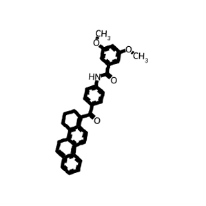 COc1cc(OC)cc(C(=O)Nc2ccc(C(=O)C3=c4ccc5c(c4CCC3)CC=c3ccccc3=5)cc2)c1